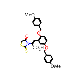 COc1ccc(COc2ccc(OCc3ccc(OC)cc3)c(C=C(C(=O)O)N3C(=O)CSC3=S)c2)cc1